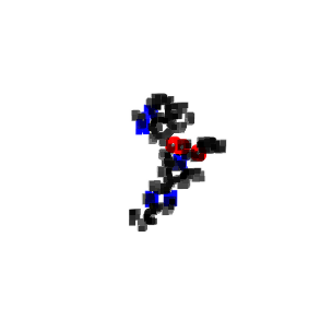 CC(C)n1cnc2cc(OC[C@@H]3CC(c4cnc(C(F)(F)F)cn4)=C[C@H](C)N3C(=O)OC(C)(C)C)cc(C(F)(F)F)c21